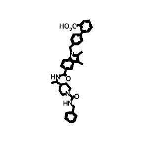 Cc1c(C)n(Cc2ccc(-c3ccccc3C(=O)O)cc2)c2ccc(C(=O)NC(C)C3CCN(C(=O)NCc4ccccc4)CC3)cc12